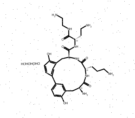 Cl.Cl.Cl.Cl.NCCC[C@@H]1NC(=O)[C@@H](N)Cc2cc(ccc2O)-c2ccc(O)c(c2)C[C@@H](C(=O)N[C@@H](CCN)C(=O)NCCN)NC1=O